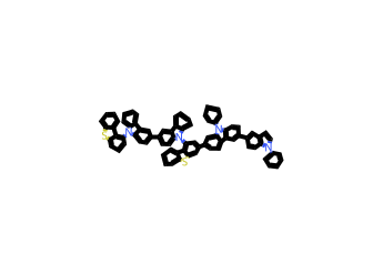 c1ccc(-n2ccc3cc(-c4ccc5c(c4)c4ccc(-c6cc(-n7c8ccccc8c8cc(-c9ccc%10c(c9)c9ccccc9n%10-c9cccc%10sc%11ccccc%11c9%10)ccc87)c7c(c6)sc6ccccc67)cc4n5-c4ccccc4)ccc32)cc1